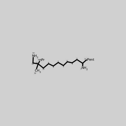 CCCC(C)C(N)CCCCCCCCC(C)(CN)CCC